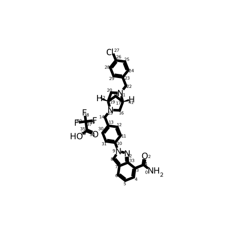 NC(=O)c1cccc2cn(-c3ccc(CN4C[C@@H]5C[C@H]4CN5Cc4ccc(Cl)cc4)cc3)nc12.O=C(O)C(F)(F)F